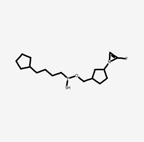 FC1=CN1C1CCC(COP(S)CCCCC2CCCC2)C1